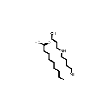 CCCCCCCCC(=O)O.NCCCCNCCCO